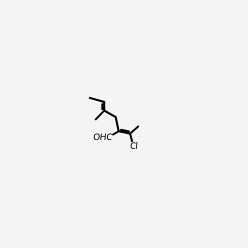 C/C=C(\C)C/C(C=O)=C(\C)Cl